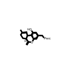 C=C1Oc2cc(CC(C)CCC)cc(O)c2C2C=C(C)CC[C@@H]12